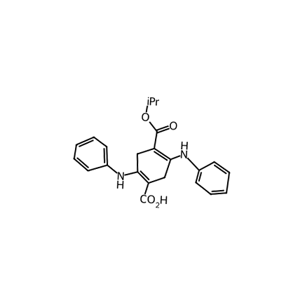 CC(C)OC(=O)C1=C(Nc2ccccc2)CC(C(=O)O)=C(Nc2ccccc2)C1